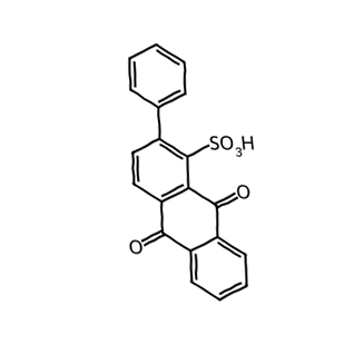 O=C1c2ccccc2C(=O)c2c1ccc(-c1ccccc1)c2S(=O)(=O)O